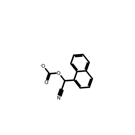 N#CC(OC([O])=O)c1cccc2ccccc12